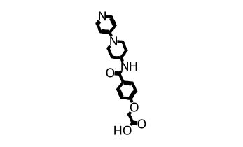 O=C(O)COc1ccc(C(=O)NC2CCN(c3ccncc3)CC2)cc1